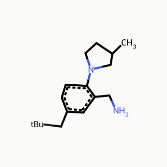 CC1CCN(c2ccc(CC(C)(C)C)cc2CN)C1